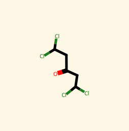 O=C(CC(Cl)Cl)CC(Cl)Cl